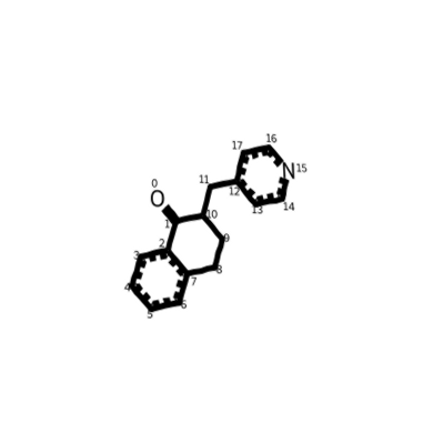 O=C1c2ccccc2CCC1Cc1ccncc1